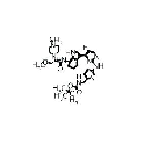 COC[C@H](C(=O)Nc1cccc2c(-c3nc(Nc4ccc(CNC(=O)OC(C)(C)C)nc4)ncc3F)c[nH]c12)N1CCN(C)CC1